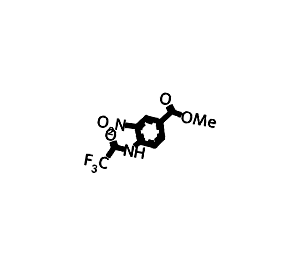 COC(=O)c1ccc(NC(=O)C(F)(F)F)c([N+](=O)[O-])c1